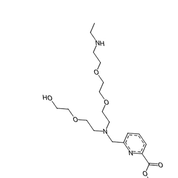 CCNCCOCCOCCN(CCOCCO)Cc1cccc(C(=O)OC)n1